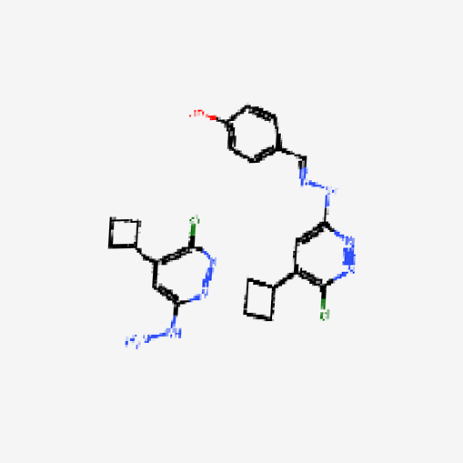 NNc1cc(C2CCC2)c(Cl)nn1.Oc1ccc(C=NNc2cc(C3CCC3)c(Cl)nn2)cc1